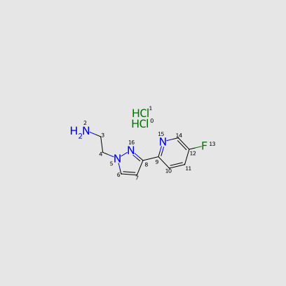 Cl.Cl.NCCn1ccc(-c2ccc(F)cn2)n1